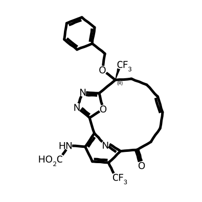 O=C(O)Nc1cc(C(F)(F)F)c2nc1-c1nnc(o1)[C@@](OCc1ccccc1)(C(F)(F)F)CCC=CCCC2=O